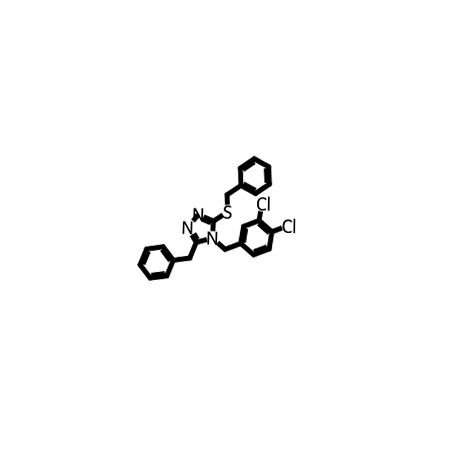 Clc1ccc(Cn2c(Cc3ccccc3)nnc2SCc2ccccc2)cc1Cl